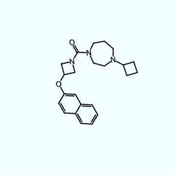 O=C(N1CCCN(C2CCC2)CC1)N1CC(Oc2ccc3ccccc3c2)C1